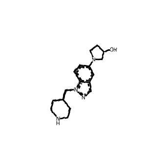 OC1CCN(c2ccc3c(cnn3CC3CCNCC3)c2)C1